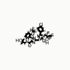 CC(C)(O)CNC(=O)c1nc(Cn2nc(-c3ccc(Cl)cc3)n(CC(O)C(F)(F)F)c2=O)nn1-c1ncccc1OC(F)(F)F